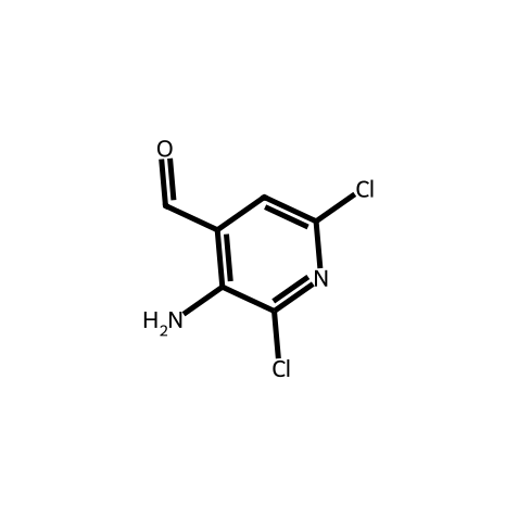 Nc1c(C=O)cc(Cl)nc1Cl